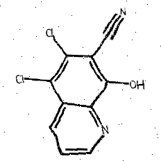 N#Cc1c(Cl)c(Cl)c2cccnc2c1O